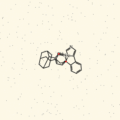 OC(CC1c2ccccc2-c2cncn21)C12CC3CC(C1)C(c1cccnc1)C(C3)C2